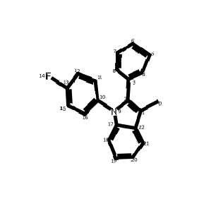 Cc1c(-c2ccccc2)n(-c2ccc(F)cc2)c2ccccc12